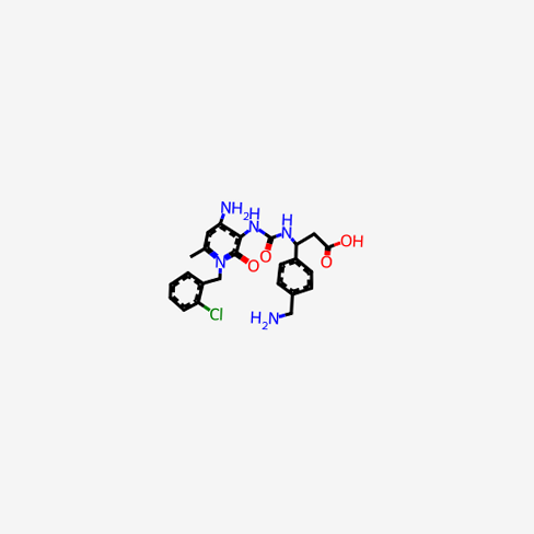 Cc1cc(N)c(NC(=O)NC(CC(=O)O)c2ccc(CN)cc2)c(=O)n1Cc1ccccc1Cl